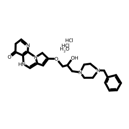 Cl.Cl.O.O=C1CC=NC2=C1NC=C1C=C(OCC(O)CN3CCN(Cc4ccccc4)CC3)CN12